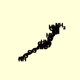 CNCCCOCCOCCOCCCNC(=O)CC[C@H](NC(=O)c1ccc(NCc2cnc3nc(N)[nH]c(=O)c3n2)cc1)C(=O)O